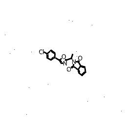 CC(c1ncc(-c2ccc(Cl)cc2)o1)N1C(=O)c2ccccc2C1=O